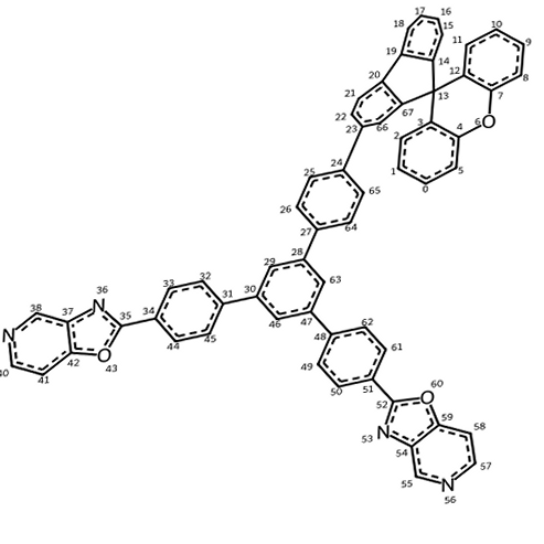 c1ccc2c(c1)Oc1ccccc1C21c2ccccc2-c2ccc(-c3ccc(-c4cc(-c5ccc(-c6nc7cnccc7o6)cc5)cc(-c5ccc(-c6nc7cnccc7o6)cc5)c4)cc3)cc21